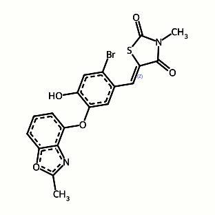 Cc1nc2c(Oc3cc(/C=C4\SC(=O)N(C)C4=O)c(Br)cc3O)cccc2o1